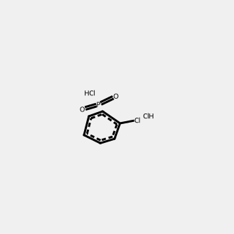 Cl.Cl.Clc1ccccc1.O=[P]=O